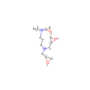 CN(CCCN(CC1CO1)CC1CO1)C1CO1